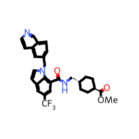 COC(=O)[C@H]1CC[C@H](CNC(=O)c2cc(C(F)(F)F)cc3ccn(Cc4ccc5cnccc5c4)c23)CC1